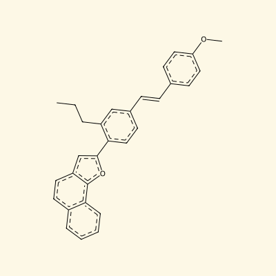 CCCc1cc(/C=C/c2ccc(OC)cc2)ccc1-c1cc2ccc3ccccc3c2o1